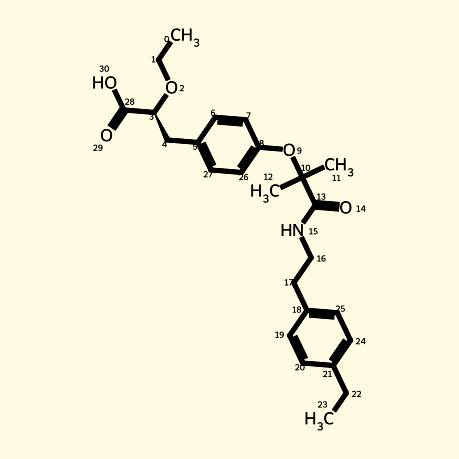 CCO[C@@H](Cc1ccc(OC(C)(C)C(=O)NCCc2ccc(CC)cc2)cc1)C(=O)O